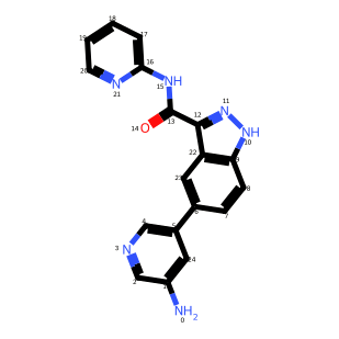 Nc1cncc(-c2ccc3[nH]nc(C(=O)Nc4ccccn4)c3c2)c1